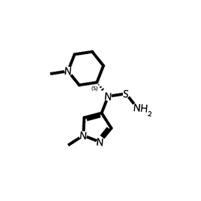 CN1CCC[C@H](N(SN)c2cnn(C)c2)C1